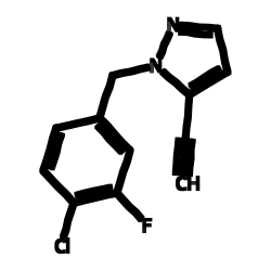 C#Cc1ccnn1Cc1ccc(Cl)c(F)c1